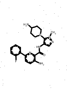 Cn1ncc(NC(=O)c2nc(-c3ccccc3F)ccc2N)c1N1CCC(N)CC1